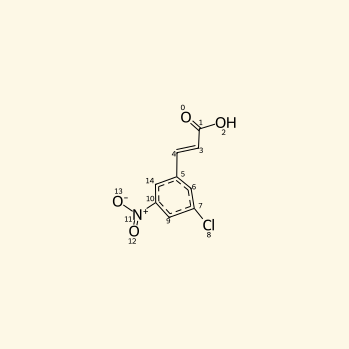 O=C(O)/C=C/c1cc(Cl)cc([N+](=O)[O-])c1